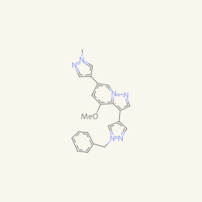 COc1cc(-c2cnn(C)c2)cn2ncc(-c3cnn(Cc4ccccc4)c3)c12